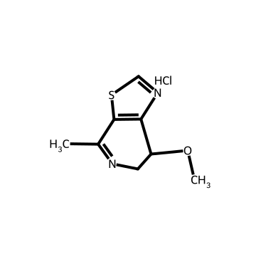 COC1CN=C(C)c2scnc21.Cl